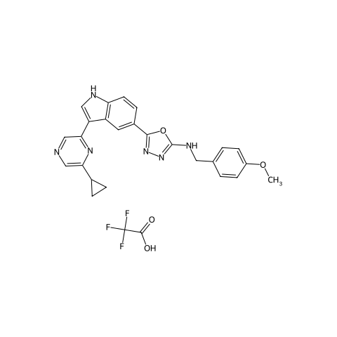 COc1ccc(CNc2nnc(-c3ccc4[nH]cc(-c5cncc(C6CC6)n5)c4c3)o2)cc1.O=C(O)C(F)(F)F